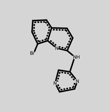 Brc1cccc2ccc(Nc3cnccn3)nc12